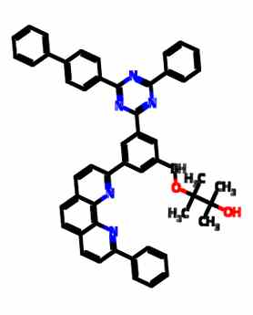 CC(C)(O)C(C)(C)OBc1cc(-c2ccc3ccc4ccc(-c5ccccc5)nc4c3n2)cc(-c2nc(-c3ccccc3)nc(-c3ccc(-c4ccccc4)cc3)n2)c1